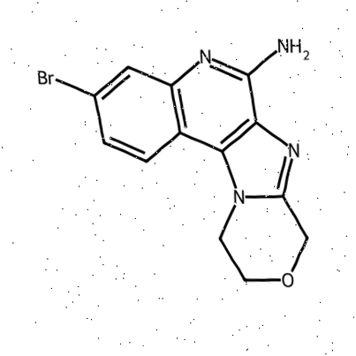 Nc1nc2cc(Br)ccc2c2c1nc1n2CCOC1